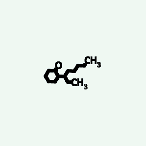 CCCCCC(CC)C1CCCCC1=O